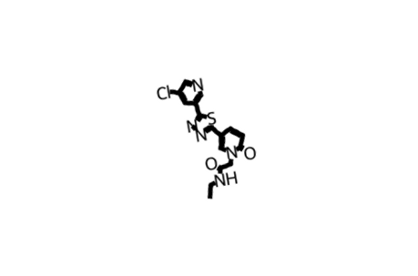 CCNC(=O)Cn1cc(-c2nnc(-c3cncc(Cl)c3)s2)ccc1=O